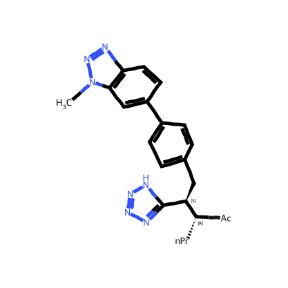 CCC[C@@H](C(C)=O)[C@H](Cc1ccc(-c2ccc3nnn(C)c3c2)cc1)c1nnn[nH]1